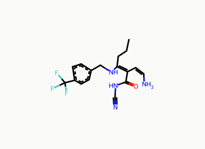 CCC/C(NCc1ccc(C(F)(F)F)cc1)=C(\C=C/N)C(=O)NC#N